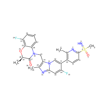 Cc1nc(S(C)(=N)=O)ccc1-c1cn2c(CN3C(=O)[C@@H](C)Oc4c(F)cccc43)c(C)nc2cc1F